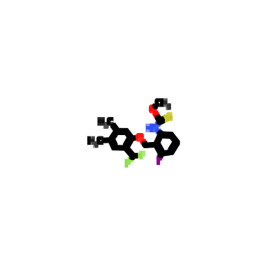 COC(=S)Nc1cccc(I)c1COc1cc(C)c(C)cc1C(F)F